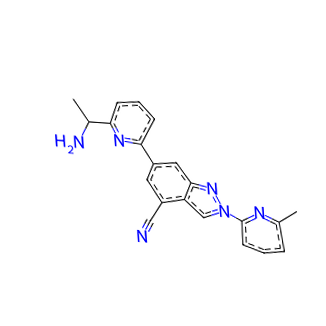 Cc1cccc(-n2cc3c(C#N)cc(-c4cccc(C(C)N)n4)cc3n2)n1